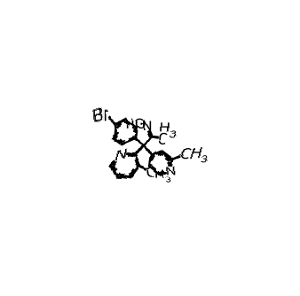 C/C(=N/O)C(c1ccc(Br)cc1)(c1ccnc(C)c1)c1ncccc1C